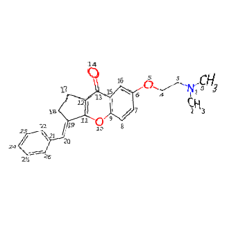 CN(C)CCOc1ccc2oc3c(c(=O)c2c1)CCC3=Cc1ccccc1